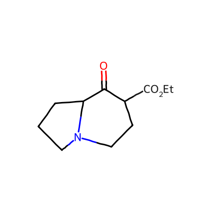 CCOC(=O)C1CCN2CCCC2C1=O